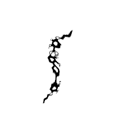 CCCCOc1ccc(C(=O)Oc2ccc(C3CCC(c4ccc(OCCCC)c(F)c4F)CC3)c(F)c2F)c(F)c1F